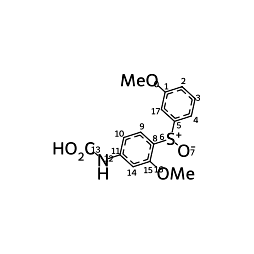 COc1cccc([S+]([O-])c2ccc(NC(=O)O)cc2OC)c1